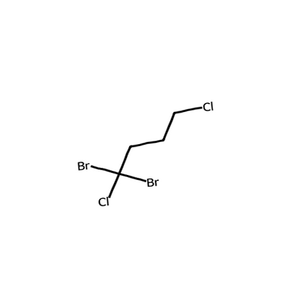 ClCCCC(Cl)(Br)Br